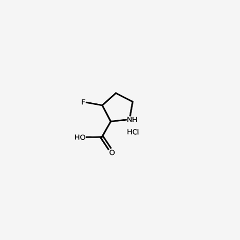 Cl.O=C(O)C1NCCC1F